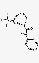 O=C(Nc1ccccn1)c1c[c]cc(C(F)(F)F)c1